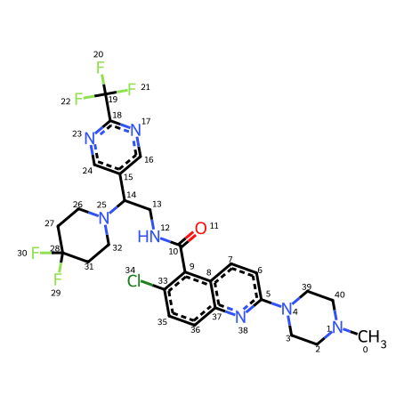 CN1CCN(c2ccc3c(C(=O)NCC(c4cnc(C(F)(F)F)nc4)N4CCC(F)(F)CC4)c(Cl)ccc3n2)CC1